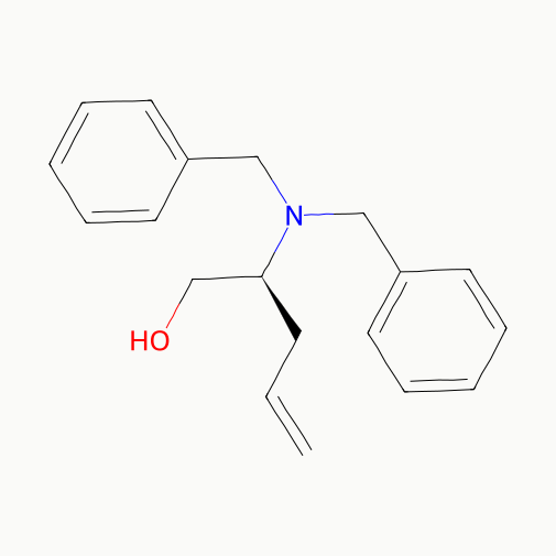 C=CC[C@@H](CO)N(Cc1ccccc1)Cc1ccccc1